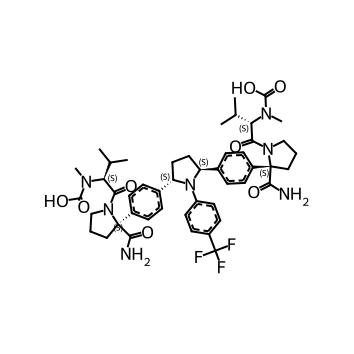 CC(C)[C@@H](C(=O)N1CCC[C@@]1(C(N)=O)c1ccc([C@@H]2CC[C@@H](c3ccc([C@]4(C(N)=O)CCCN4C(=O)[C@H](C(C)C)N(C)C(=O)O)cc3)N2c2ccc(C(F)(F)F)cc2)cc1)N(C)C(=O)O